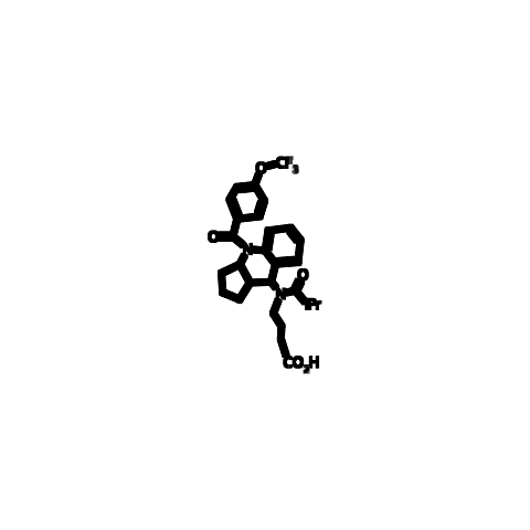 CC(C)C(=O)N(CCCC(=O)O)C1c2ccccc2N(C(=O)c2ccc(OC(F)(F)F)cc2)C2CCCC12